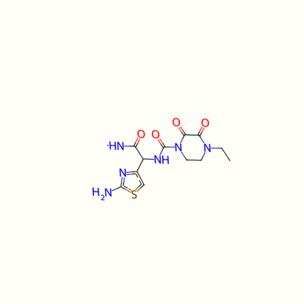 CCN1CCN(C(=O)NC(C([NH])=O)c2csc(N)n2)C(=O)C1=O